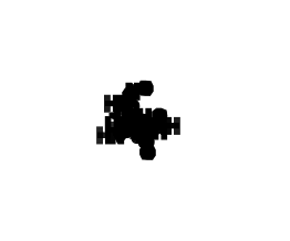 CC(C)C[C@H](NC(=O)C(Cc1c[nH]cn1)NC(=O)[C@H](Cc1c[nH]c2ccccc12)NC(=O)OCc1ccccc1)[C@@H](O)CC(=O)NC1CCN(Cc2ccccc2)CC1